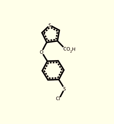 O=C(O)c1cscc1Oc1ccc(SCl)cc1